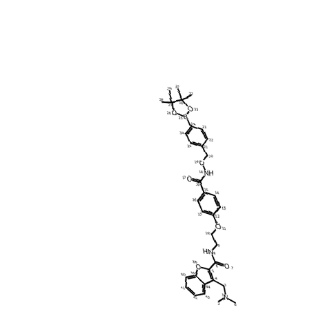 CN(C)Cc1c(C(=O)NCCOc2ccc(C(=O)NOCc3ccc(B4OC(C)(C)C(C)(C)O4)cc3)cc2)oc2ccccc12